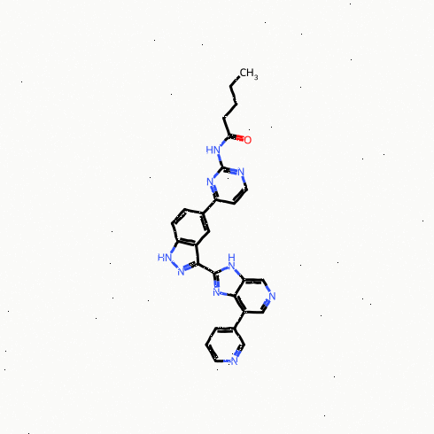 CCCCC(=O)Nc1nccc(-c2ccc3[nH]nc(-c4nc5c(-c6cccnc6)cncc5[nH]4)c3c2)n1